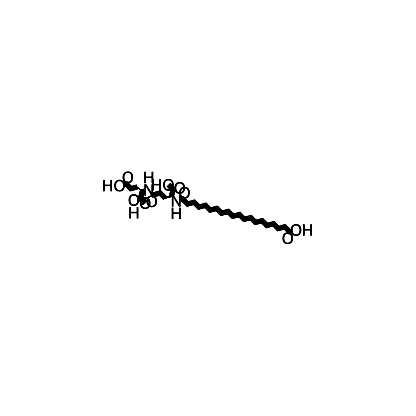 O=C(O)CCCCCCCCCCCCCCCCCCC(=O)N[C@@H](CCC(=O)N[C@@H](CCC(=O)O)C(=O)O)C(=O)O